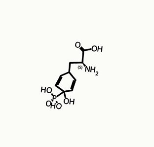 N[C@@H](CC1C=CC(O)(P(=O)(O)O)C=C1)C(=O)O